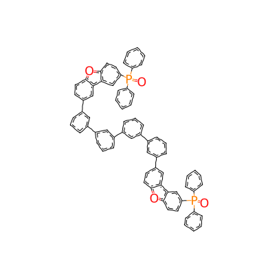 O=P(c1ccccc1)(c1ccccc1)c1ccc2oc3ccc(-c4cccc(-c5cccc(-c6cccc(-c7cccc(-c8ccc9oc%10ccc(P(=O)(c%11ccccc%11)c%11ccccc%11)cc%10c9c8)c7)c6)c5)c4)cc3c2c1